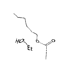 CCCCOC(C)=O.CCO